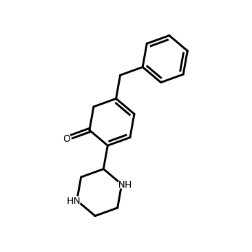 O=C1CC(Cc2ccccc2)=CC=C1C1CNCCN1